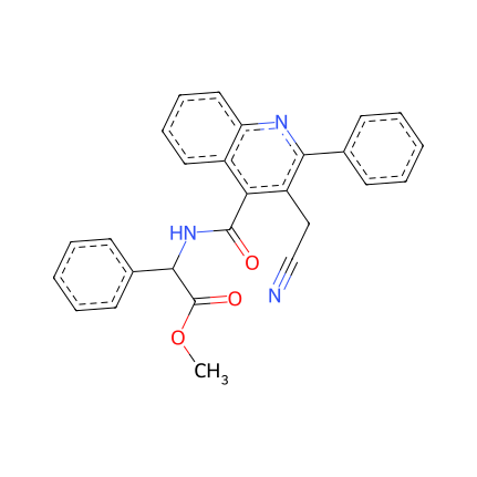 COC(=O)C(NC(=O)c1c(CC#N)c(-c2ccccc2)nc2ccccc12)c1ccccc1